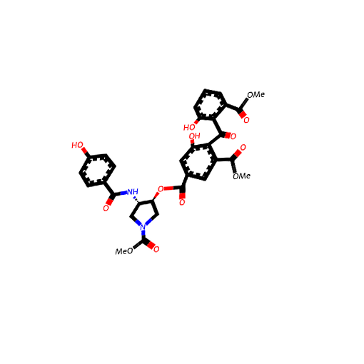 COC(=O)c1cccc(O)c1C(=O)c1c(O)cc(C(=O)O[C@H]2CN(C(=O)OC)C[C@@H]2NC(=O)c2ccc(O)cc2)cc1C(=O)OC